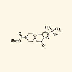 CC(C)C(C)(C)c1nc2c(s1)CC1(CCN(C(=O)OC(C)(C)C)CC1)CC2=O